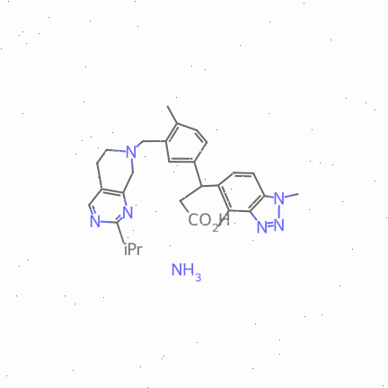 Cc1ccc(C(CC(=O)O)c2ccc3c(nnn3C)c2C)cc1CN1CCc2cnc(C(C)C)nc2C1.N